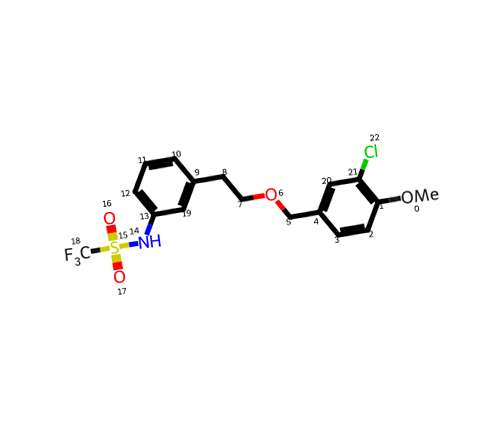 COc1ccc(COCCc2cccc(NS(=O)(=O)C(F)(F)F)c2)cc1Cl